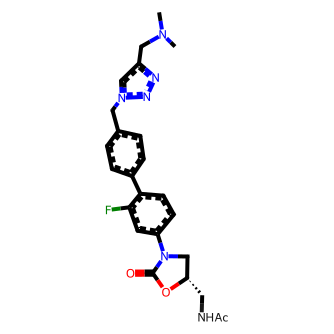 CC(=O)NC[C@H]1CN(c2ccc(-c3ccc(Cn4cc(CN(C)C)nn4)cc3)c(F)c2)C(=O)O1